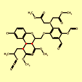 COC(=O)CN(CC(=O)OC)c1cc(OC=O)c(C=O)cc1OCC(CCCCC(C)N=[N+]=[N-])Oc1ccc(Cl)cc1N(CC(=O)OC)CC(=O)OC